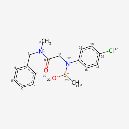 CN(Cc1ccccc1)C(=O)CN(c1ccc(Cl)cc1)[S+](C)[O-]